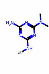 CCNc1nc(N)nc(N(C)C)n1